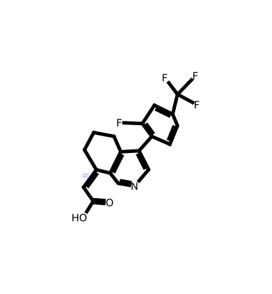 O=C(O)/C=C1/CCCc2c1cncc2-c1ccc(C(F)(F)F)cc1F